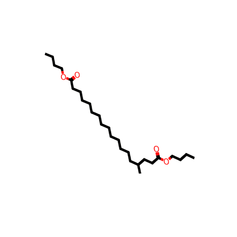 CCCCOC(=O)CCCCCCCCCCCCCC(C)CCC(=O)OCCCC